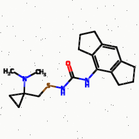 CN(C)C1(CSNC(=O)Nc2c3c(cc4c2CCC4)CCC3)CC1